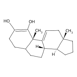 C[C@@]12C3=CC[C@]4(C)CCC[C@H]4[C@@H]3CCC1CCC(O)=C2O